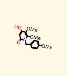 COc1ccc(Cn2c(OC)c(OC)c(O)cc2=O)cc1